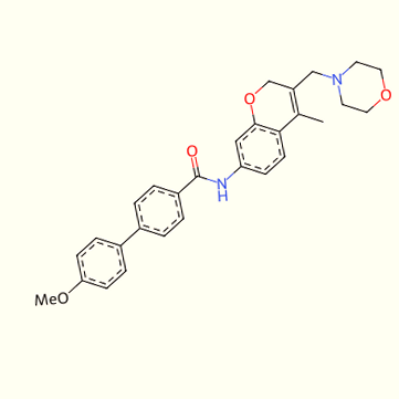 COc1ccc(-c2ccc(C(=O)Nc3ccc4c(c3)OCC(CN3CCOCC3)=C4C)cc2)cc1